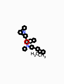 CC1(C)c2ccccc2-c2ccc(-c3ccc(N(c4ccccc4)c4ccc(-c5ccc6c(c5)c5cccc7c8ccccc8n6c75)c5c4C4c6ccccc6C5c5ccccc54)cc3)cc21